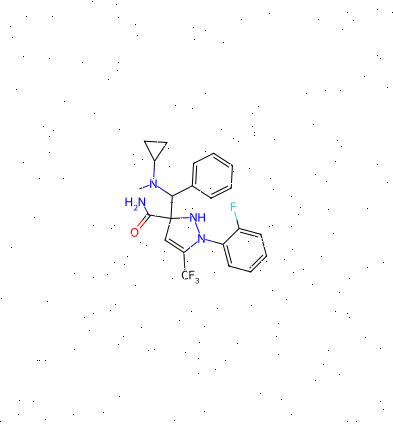 CN(C1CC1)C(c1ccccc1)C1(C(N)=O)C=C(C(F)(F)F)N(c2ccccc2F)N1